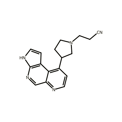 N#CCCN1CCC(c2ccnc3cnc4[nH]ccc4c23)C1